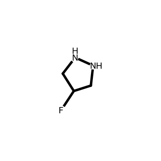 FC1CNNC1